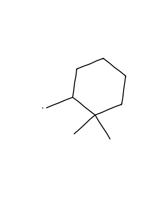 [CH2]C1CCCCC1(C)C